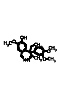 CCC1(c2ccc(OC)c(OC)c2)C(C)=NN=Cc2cc(OC)c(O)cc21